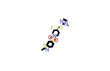 Cc1nc2ccc(S(=O)(=O)N3CC[C@@H](CSc4nccn4C)[C@H](F)C3)cc2s1